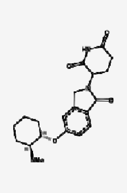 CN[C@H]1CCCC[C@@H]1Oc1ccc2c(c1)CN(C1CCC(=O)NC1=O)C2=O